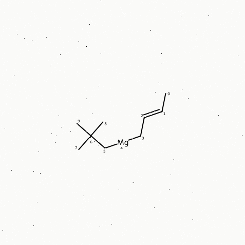 CC=C[CH2][Mg][CH2]C(C)(C)C